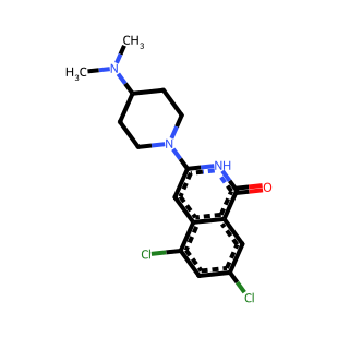 CN(C)C1CCN(c2cc3c(Cl)cc(Cl)cc3c(=O)[nH]2)CC1